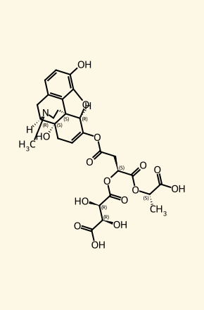 C[C@H](OC(=O)[C@H](CC(=O)OC1=CC[C@@]2(O)[C@H]3Cc4ccc(O)c5c4[C@@]2(CCN3C)[C@H]1O5)OC(=O)[C@H](O)[C@@H](O)C(=O)O)C(=O)O